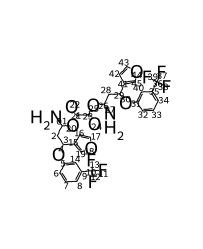 NC(CC(Oc1cccc(C(F)(F)F)c1)c1ccoc1)OC(=O)C(=O)OC(N)CC(Oc1cccc(C(F)(F)F)c1)c1ccoc1